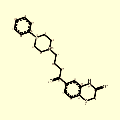 O=C1CSc2ccc(C(=O)CCCN3CCN(c4ccccc4)CC3)cc2N1